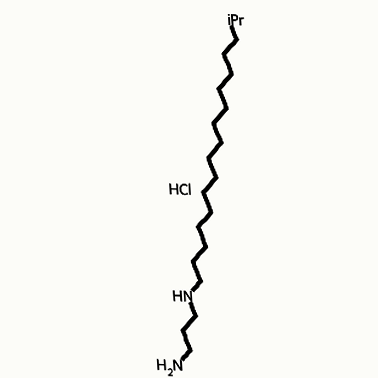 CC(C)CCCCCCCCCCCCCCCNCCCN.Cl